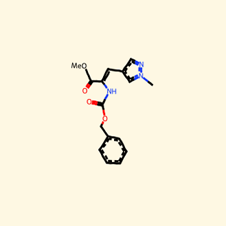 COC(=O)/C(=C/c1cnn(C)c1)NC(=O)OCc1ccccc1